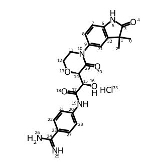 CC1(C)C(=O)Nc2ccc(N3CCO[C@H]([C@@H](O)C(=O)Nc4ccc(C(=N)N)cc4)C3=O)cc21.Cl